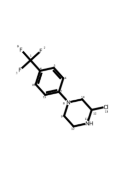 FC(F)(F)c1ccc(N2CCNC(Cl)C2)cc1